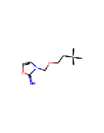 C[Si](C)(C)CCOCn1ccoc1=N